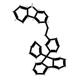 c1ccc(C2(c3cccc(CCc4ccc5sc6ccccc6c5c4)c3)c3ccccc3-c3ccccc32)cc1